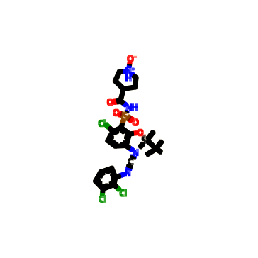 CC(C)(C)[Si](C)(C)Oc1c(N=C=Nc2cccc(Cl)c2Cl)ccc(Cl)c1S(=O)(=O)NC(=O)C1CC[NH+]([O-])CC1